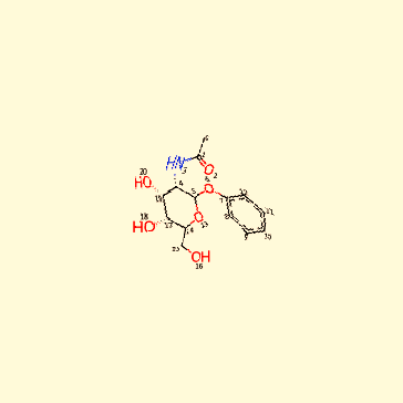 CC(=O)N[C@@H]1C(Oc2ccccc2)OC(CO)[C@H](O)[C@@H]1O